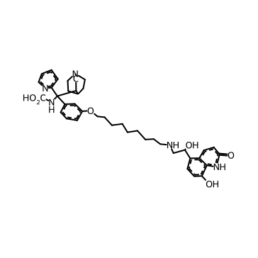 O=C(O)NC(c1cccc(OCCCCCCCCCNCC(O)c2ccc(O)c3[nH]c(=O)ccc23)c1)(c1ccccn1)C1CN2CCC1CC2